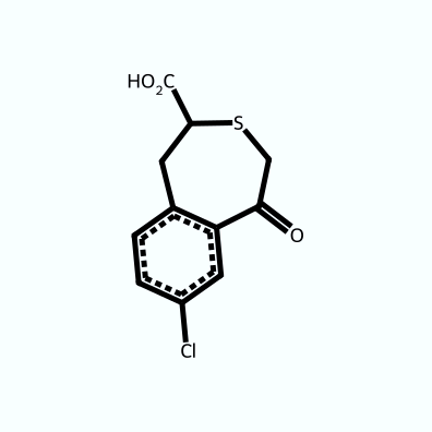 O=C1CSC(C(=O)O)Cc2ccc(Cl)cc21